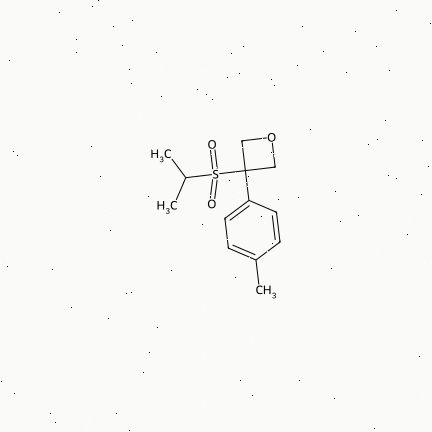 Cc1ccc(C2(S(=O)(=O)C(C)C)COC2)cc1